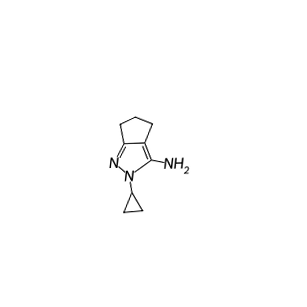 Nc1c2c(nn1C1CC1)CCC2